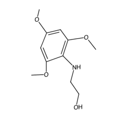 COc1cc(OC)c(NCCO)c(OC)c1